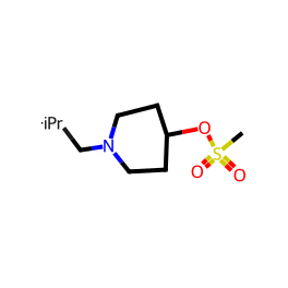 C[C](C)CN1CCC(OS(C)(=O)=O)CC1